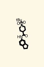 CC(C)(C)S(=O)(=O)N1CCC(C(=O)Nc2ccc3c(c2)CCC3)CC1